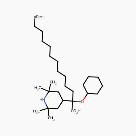 CCCCCCCCCCCCCCCCCCCCC(OC1CCCCC1)(C(=O)O)C1CC(C)(C)NC(C)(C)C1